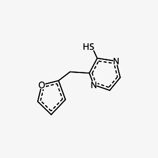 Sc1nccnc1Cc1ccco1